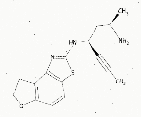 CC#C[C@H](C[C@@H](C)N)Nc1nc2c3c(ccc2s1)OCC3